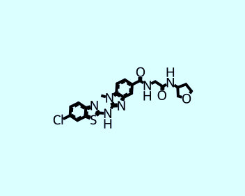 Cn1c(Nc2nc3ccc(Cl)cc3s2)nc2cc(C(=O)NCC(=O)NC3CCOC3)ccc21